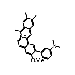 COc1cc2cc[n+]3c(C)c4cc(C)c(C)cc4cc3c2cc1-c1cccc(N(C)C)c1